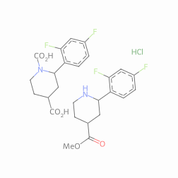 COC(=O)C1CCNC(c2ccc(F)cc2F)C1.Cl.O=C(O)C1CCN(C(=O)O)C(c2ccc(F)cc2F)C1